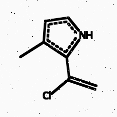 C=C(Cl)c1[nH]ccc1C